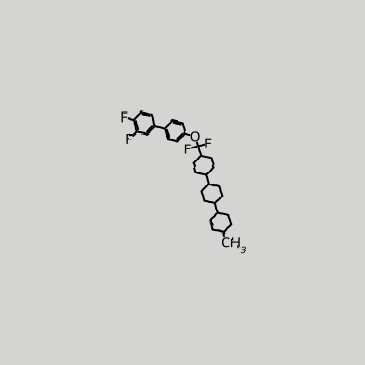 CC1CCC(C2CCC(C3CCC(C(F)(F)Oc4ccc(-c5ccc(F)c(F)c5)cc4)CC3)CC2)CC1